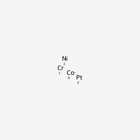 [Co].[Cr].[Ni].[Pt]